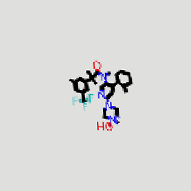 Cc1cc(C(F)(F)F)cc(C(C)(C)C(=O)N(C)c2cnc(N3CC[N+](C)(O)CC3)cc2-c2ccccc2C)c1